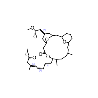 COC(=O)/C=C1\CC2CC(=O)OC(/C=C/C=C\C=C(/C)CC(=O)OC)C(C)CCC(C)CC3CCCC(CC(C1)O2)O3